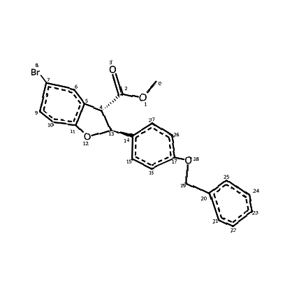 COC(=O)[C@H]1c2cc(Br)ccc2O[C@@H]1c1ccc(OCc2ccccc2)cc1